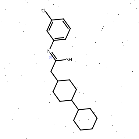 S/C(CC1CCC(C2CCCCC2)CC1)=N\c1cccc(Cl)c1